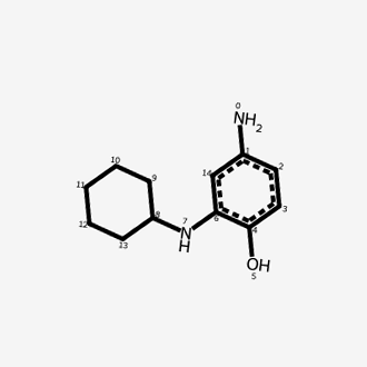 Nc1ccc(O)c(NC2CCCCC2)c1